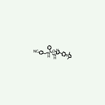 Cc1ccc(C)n1-c1ccc(-c2cnc3c(c2)NC[C@@H]([C@H](NCCc2ccc(C#N)cc2)c2ccccc2)O3)cc1